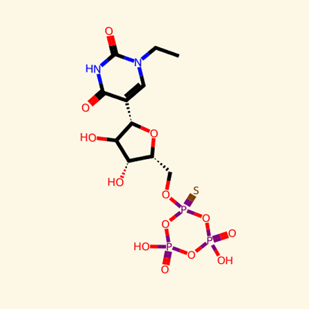 CCn1cc([C@@H]2O[C@H](COP3(=S)OP(=O)(O)OP(=O)(O)O3)[C@H](O)C2O)c(=O)[nH]c1=O